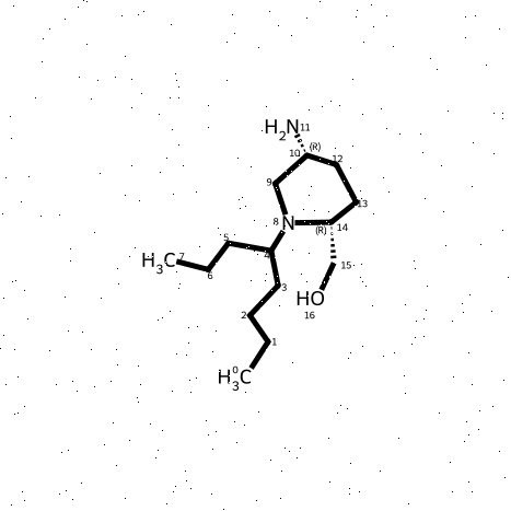 CCCCC(CCC)N1C[C@H](N)CC[C@@H]1CO